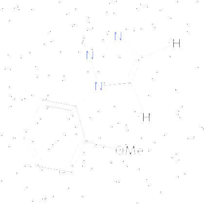 [2H]c1nnn(-c2ccccc2OC)c1[2H]